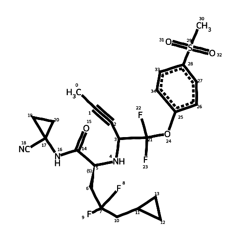 CC#CC(N[C@@H](CC(F)(F)CC1CC1)C(=O)NC1(C#N)CC1)C(F)(F)Oc1ccc(S(C)(=O)=O)cc1